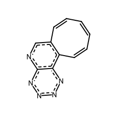 C1=CC=Cc2c(cnc3nnnnc23)C=C1